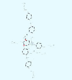 CCCCCC(C)(Cc1cc(OCC2CO2)ccc1C(C)(C)c1ccc(OCC2CO2)cc1)c1cc(OCC2CO2)ccc1C(C)(C)c1ccc(OCC2CO2)c(CC(C)(C)c2cc(C(C)(C)c3ccc(OCC4CO4)cc3)ccc2OCC2CO2)c1